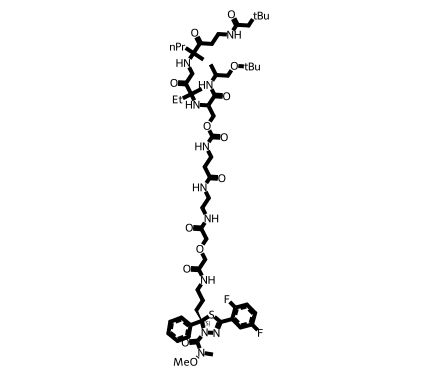 CCCC(C)(NCC(=O)C(C)(CC)NC(COC(=O)NCCC(=O)NCCNC(=O)COCC(=O)NCCC[C@@]1(c2ccccc2)SC(c2cc(F)ccc2F)=NN1C(=O)N(C)OC)C(=O)NC(C)COC(C)(C)C)C(=O)CCNC(=O)CC(C)(C)C